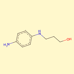 Nc1c[c]c(NCCCO)cc1